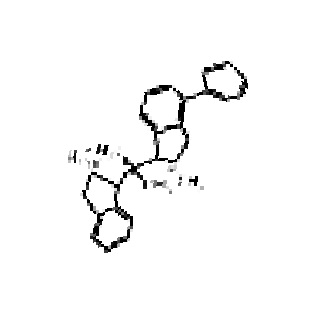 C[C@H]1Cc2ccccc2C1[Si](C)(C)C1c2cccc(-c3ccccc3)c2C[C@@H]1C